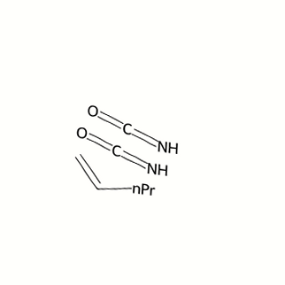 C=CCCC.N=C=O.N=C=O